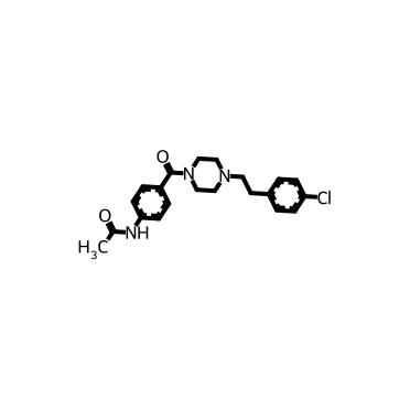 CC(=O)Nc1ccc(C(=O)N2CCN(CCc3ccc(Cl)cc3)CC2)cc1